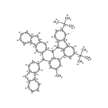 Cc1cc2c3c(c1)N(c1ccc4sc5ccccc5c4c1)c1cc4c(cc1B3n1c3ccc(C(C)(C)C)cc3c3cc(C(C)(C)C)cc-2c31)sc1ccccc14